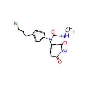 CNC(=O)N(c1ccc(CCCBr)cc1)C1CCC(=O)NC1=O